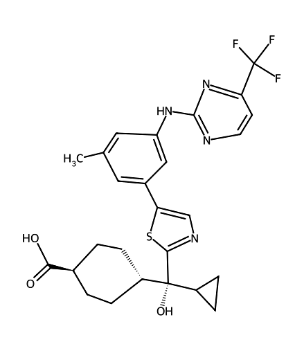 Cc1cc(Nc2nccc(C(F)(F)F)n2)cc(-c2cnc([C@@](O)(C3CC3)[C@H]3CC[C@H](C(=O)O)CC3)s2)c1